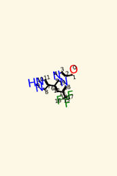 O=Cc1cnc2c(-c3cn[nH]c3)cc(C(F)(F)F)cn12